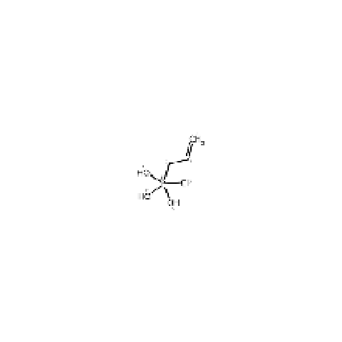 C=CCP(O)(O)(O)Cl